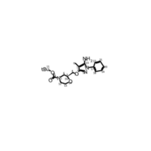 Cc1c(OC[C@@H]2CN(C(=O)OC(C)(C)C)CCO2)nn(-c2ccccc2)c1N